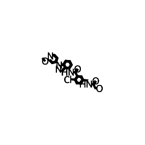 COCC(=O)NCc1ccc(Cl)c(C(=O)Nc2cccc3c2cnn3-c2ccnc(OC)c2)c1